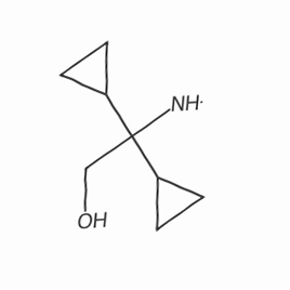 [NH]C(CO)(C1CC1)C1CC1